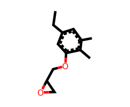 CCc1cc(C)c(C)c(OCC2CO2)c1